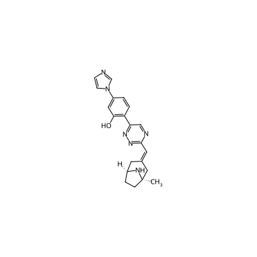 C[C@@]12CC[C@@H](C/C(=C\c3ncc(-c4ccc(-n5ccnc5)cc4O)nn3)C1)N2